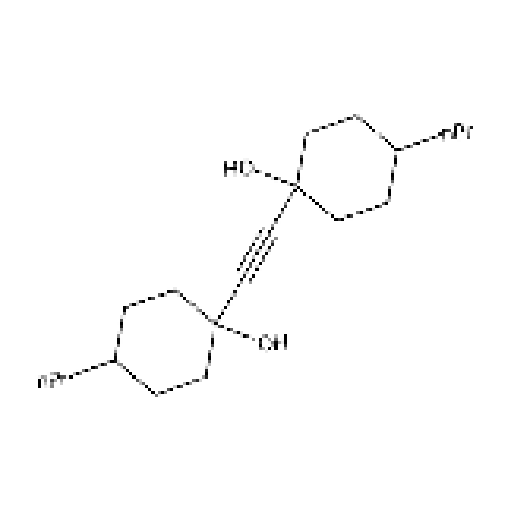 CCCC1CCC(O)(C#CC2(O)CCC(CCC)CC2)CC1